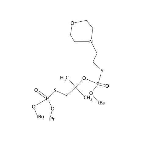 CC(C)OP(=O)(OC(C)(C)C)SCC(C)(C)OP(=O)(OC(C)(C)C)SCCN1CCOCC1